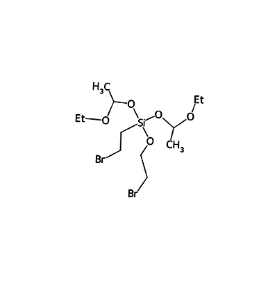 CCOC(C)O[Si](CCBr)(OCCBr)OC(C)OCC